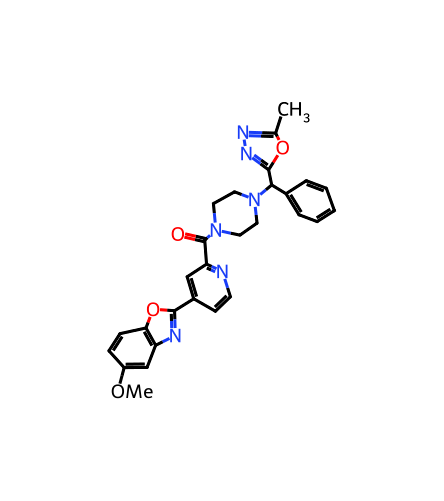 COc1ccc2oc(-c3ccnc(C(=O)N4CCN(C(c5ccccc5)c5nnc(C)o5)CC4)c3)nc2c1